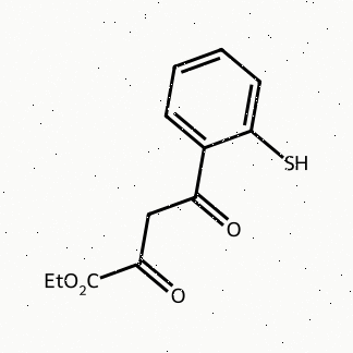 CCOC(=O)C(=O)CC(=O)c1ccccc1S